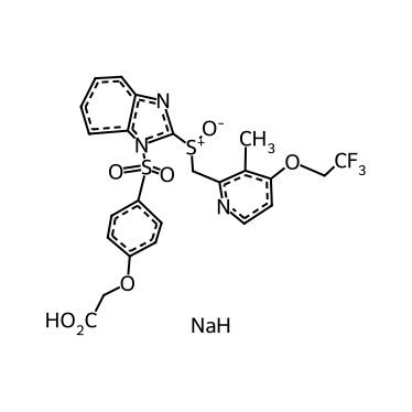 Cc1c(OCC(F)(F)F)ccnc1C[S+]([O-])c1nc2ccccc2n1S(=O)(=O)c1ccc(OCC(=O)O)cc1.[NaH]